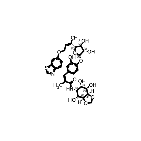 CC(=Cc1ccc(O[C@@H]2O[C@H](C(C)=CCOc3ccc4ncsc4c3)[C@@H](O)[C@@H]2O)c(O)c1)C(=O)N[C@@H]1[C@H](O)[C@@H](O)[C@H]2OCO[C@H]2[C@@H]1O